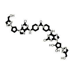 O=C(N1CCC(Nc2nc(Cl)nc3c2ncn3[C@H]2CC[C@@H](n3ncc(CO)n3)C2)CC1)N1CCC(Nc2nc(Cl)nc3c2ncn3[C@@H]2C[C@H](n3ncc(CO)n3)[C@@H](O)[C@H]2O)CC1